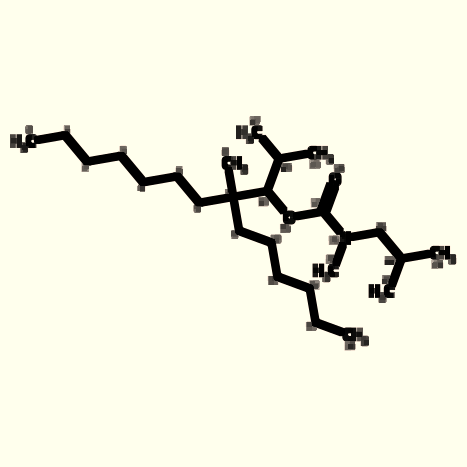 CCCCCCCC(C)(CCCCCC)C(OC(=O)N(C)CC(C)C)C(C)C